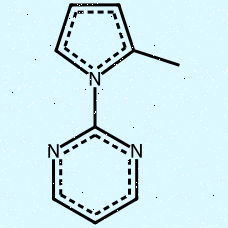 Cc1cccn1-c1ncccn1